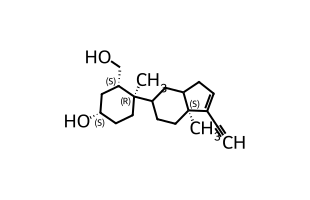 C#CC1=CCC2CC([C@@]3(C)CC[C@H](O)C[C@@H]3CO)CC[C@]12C